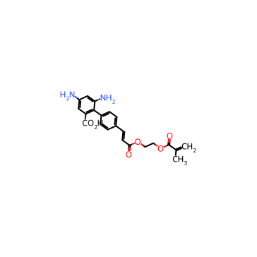 C=C(C)C(=O)OCCOC(=O)C=Cc1ccc(-c2c(N)cc(N)cc2C(=O)O)cc1